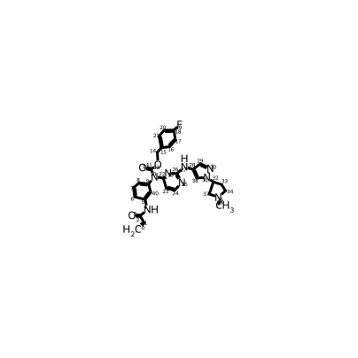 C=CC(=O)Nc1cccc(N(C(=O)OCc2ccc(F)cc2)c2ccnc(Nc3cnn(C4CCN(C)C4)c3)n2)c1